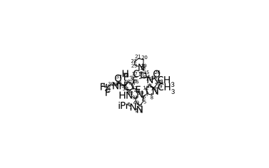 CC(C)n1cnc2cc(-c3cnc4c(c3)N(C3CC(C)(N5CCCCC5)C3)C(=O)C4(C)C)nc(Nc3cc(C(=O)NCC(F)F)c(F)c(F)c3F)c21